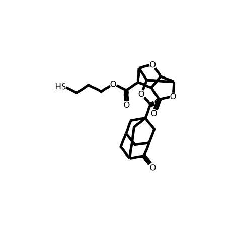 O=C1C2CC3CC1CC(C(=O)OC1C4OC(=O)C5C4OC1C5C(=O)OCCCS)(C3)C2